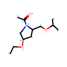 CCO[C@@H]1CC(COC(C)C)N(C(C)=O)C1